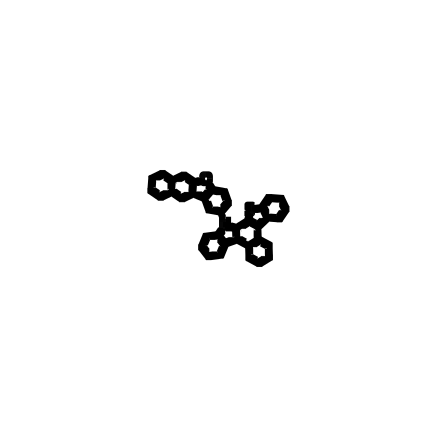 c1ccc2cc3c(cc2c1)oc1ccc(-n2c4ccccc4c4c5ccccc5c5c6ccccc6sc5c42)cc13